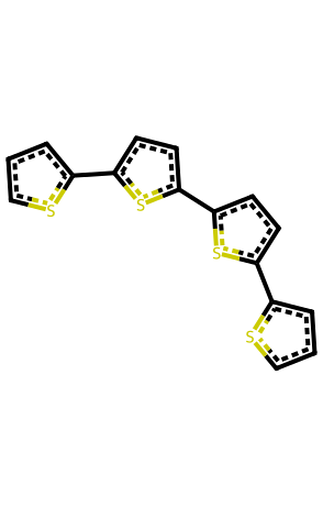 c1csc(-c2ccc(-c3ccc(-c4cccs4)s3)s2)c1